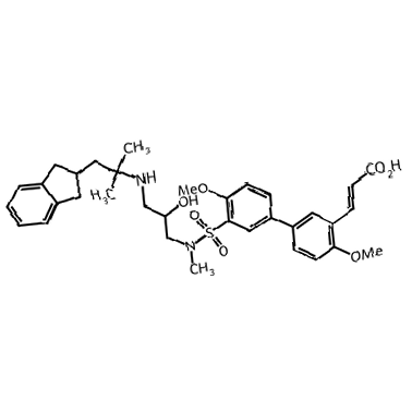 COc1ccc(-c2ccc(OC)c(S(=O)(=O)N(C)CC(O)CNC(C)(C)CC3Cc4ccccc4C3)c2)cc1C=CC(=O)O